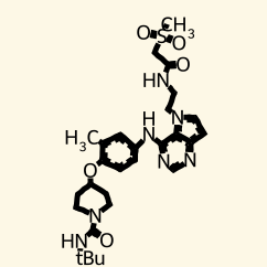 Cc1cc(Nc2ncnc3ccn(CCNC(=O)CS(C)(=O)=O)c23)ccc1OC1CCN(C(=O)NC(C)(C)C)CC1